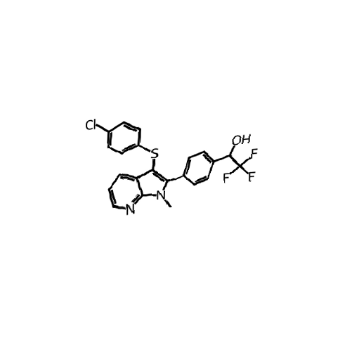 Cn1c(-c2ccc(C(O)C(F)(F)F)cc2)c(Sc2ccc(Cl)cc2)c2cccnc21